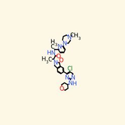 CC(NC(=O)C(C)N1Cc2ccc(-c3nc(NC4CCOCC4)ncc3Cl)cc2C1=O)c1cccc(N2CCCN(C)CC2)n1